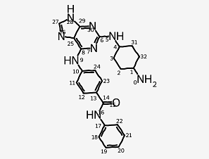 NC1CCC(Nc2nc(Nc3ccc(C(=O)Nc4ccccc4)cc3)c3nc[nH]c3n2)CC1